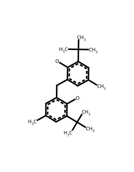 Cc1cc(Cc2cc(C)cc(C(C)(C)C)c2[O])c([O])c(C(C)(C)C)c1